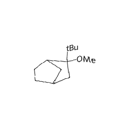 COC1(C(C)(C)C)CC2CCC1C2